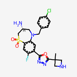 CC1(c2nnc(-c3cc4c(cc3F)S(=O)(=O)C[C@H](N)CN4Cc3ccc(Cl)cc3)o2)CNC1